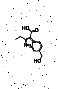 CCc1nn2cc(CO)ccc2c1C(=O)O